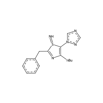 CCCCC1=C(n2cncn2)S(=N)C(Cc2ccccc2)=N1